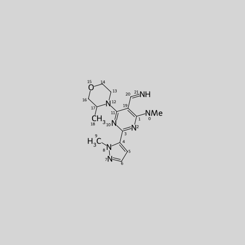 CNc1nc(-c2ccnn2C)nc(N2CCOCC2C)c1C=N